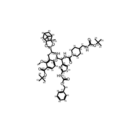 COc1c(C[C@H](NC(=O)C(NC(=O)N2CCC(CNC(=O)OC(C)(C)C)CC2)c2csc(NC(=O)OCc3ccccc3)n2)B2OC3CC4CC(C4(C)C)[C@]3(C)O2)cccc1C(=O)OC(C)(C)C